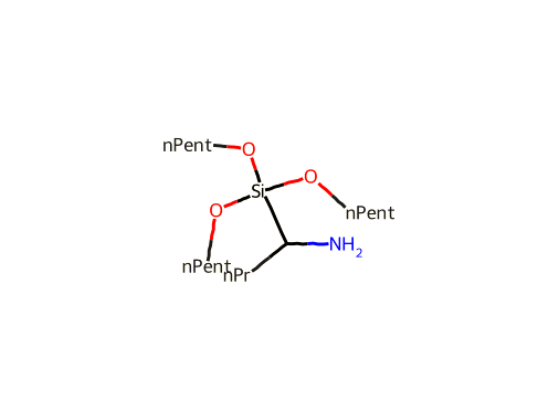 CCCCCO[Si](OCCCCC)(OCCCCC)C(N)CCC